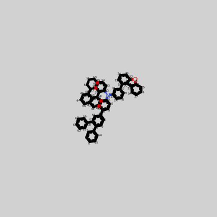 c1ccc(-c2ccc(-c3ccc(N(c4cccc(-c5cccc6oc7ccccc7c56)c4)c4ccccc4-c4cccc5cccc(C6CCCCC6)c45)cc3)cc2-c2ccccc2)cc1